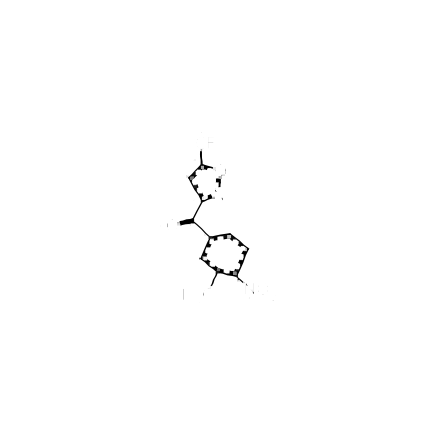 Cc1cc(C(=O)c2cc(C(F)(F)F)on2)ccc1[N+](=O)[O-]